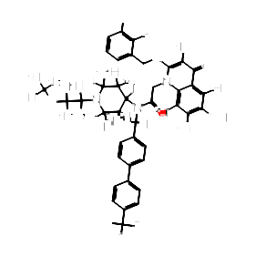 [2H]c1c(C)c([2H])c2c(=O)c([2H])c(SCc3cccc(F)c3F)n(CC(=O)N(C([2H])([2H])c3ccc(-c4ccc(C(F)(F)F)cc4)cc3)C3([2H])C([2H])([2H])C([2H])([2H])N(C([2H])([2H])C([2H])([2H])OC([2H])([2H])[2H])C([2H])([2H])C3([2H])[2H])c2c1[2H]